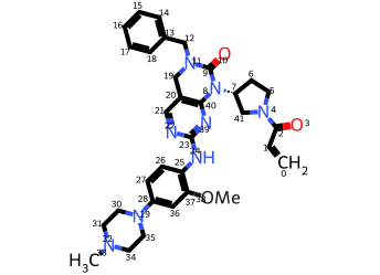 C=CC(=O)N1CC[C@@H](N2C(=O)N(Cc3ccccc3)Cc3cnc(Nc4ccc(N5CCN(C)CC5)cc4OC)nc32)C1